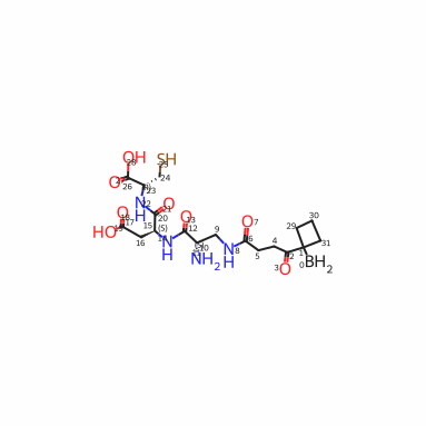 BC1(C(=O)CCC(=O)NC[C@H](N)C(=O)N[C@@H](CC(=O)O)C(=O)N[C@@H](CS)C(=O)O)CCC1